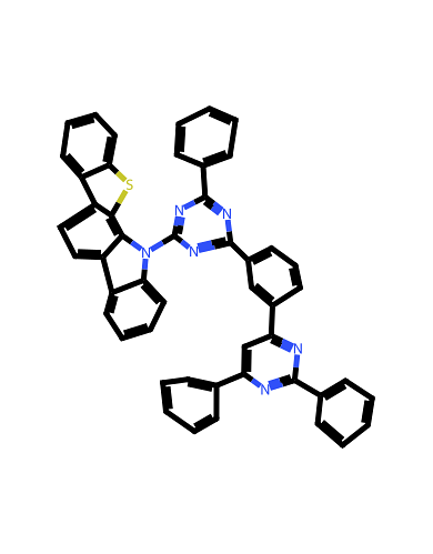 c1ccc(-c2cc(-c3cccc(-c4nc(-c5ccccc5)nc(-n5c6ccccc6c6ccc7c8ccccc8sc7c65)n4)c3)nc(-c3ccccc3)n2)cc1